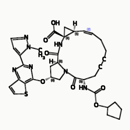 Cn1nccc1-c1nc(O[C@@H]2C[C@H]3C(=O)N[C@]4(C(=O)O)C[C@H]4/C=C\CCCCC[C@H](NC(=O)OC4CCCC4)C(=O)N3C2)c2sccc2n1